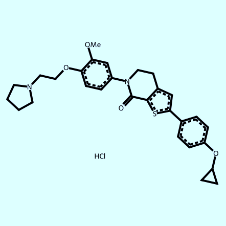 COc1cc(N2CCc3cc(-c4ccc(OC5CC5)cc4)sc3C2=O)ccc1OCCN1CCCC1.Cl